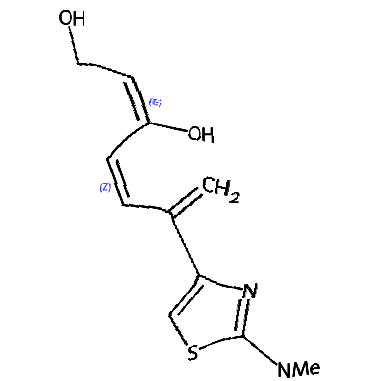 C=C(/C=C\C(O)=C/CO)c1csc(NC)n1